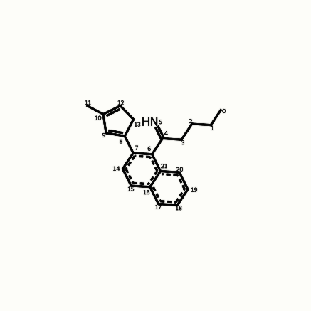 CCCCC(=N)c1c(C2=CC(C)=CC2)ccc2ccccc12